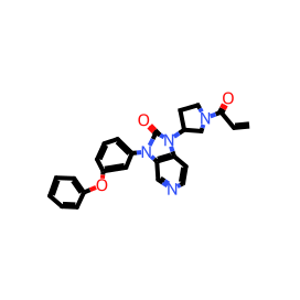 C=CC(=O)N1CCC(n2c(=O)n(-c3cccc(Oc4ccccc4)c3)c3cnccc32)C1